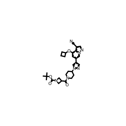 CC(C)(C)OC(=O)N1CC(C(=O)N2CCC(n3cc(-c4cc(OC5CCC5)c5c(C#N)cnn5c4)cn3)CC2)C1